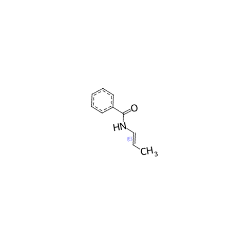 C/C=C/NC(=O)c1ccccc1